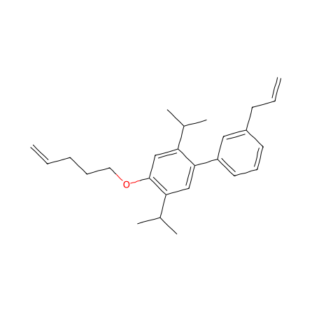 C=CCCCOc1cc(C(C)C)c(-c2cccc(CC=C)c2)cc1C(C)C